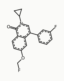 O=c1c2ccc(OCF)cc2c(-c2cccc(F)c2)cn1C1CC1